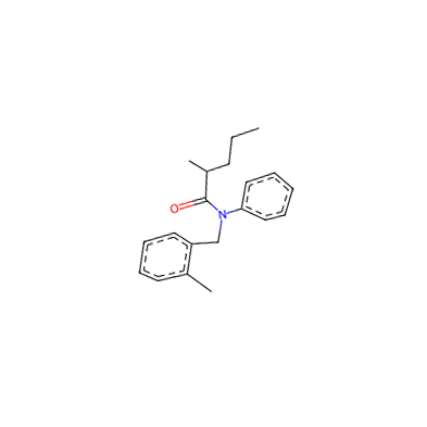 CCCC(C)C(=O)N(Cc1ccccc1C)c1ccccc1